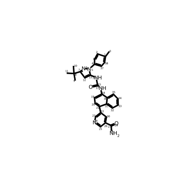 Cc1ccc(-n2nc(C(C)(C)C)cc2NC(=O)Nc2ccc(-c3cncc(C(N)=O)c3)c3ccccc23)cc1